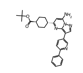 CC(C)(C)OC(=O)[C@H]1CC[C@H](c2cc(N)n3ncc(-c4ccc(-c5ccccc5)nc4)c3n2)CC1